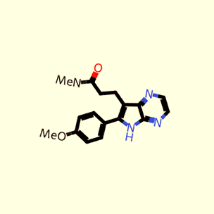 CNC(=O)CCc1c(-c2ccc(OC)cc2)[nH]c2nccnc12